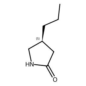 CCC[C@@H]1CNC(=O)C1